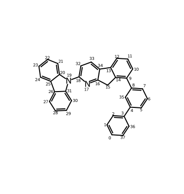 c1ccc(-c2cccc(-c3cccc4c3Cc3nc(-n5c6ccccc6c6ccccc65)ccc3-4)c2)cc1